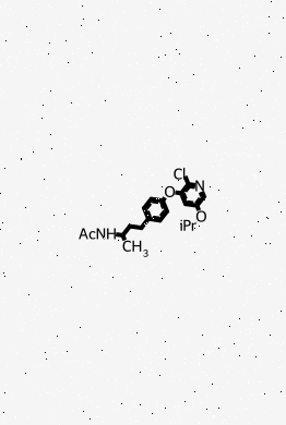 CC(=O)NC(C)CCc1ccc(Oc2cc(OC(C)C)cnc2Cl)cc1